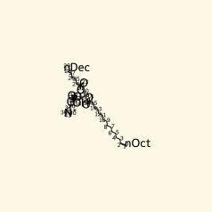 CCCCCCCC/C=C\CCCCCCCCCCCCCC(=O)O[C@H](COC(=O)CCCCCCCCCCCCCCC)COP(=O)(O)OCC[N+](C)(C)C